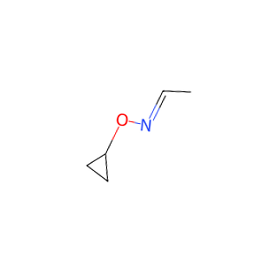 CC=NOC1CC1